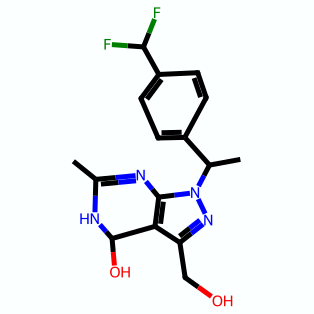 CC1=Nc2c(c(CO)nn2C(C)c2ccc(C(F)F)cc2)C(O)N1